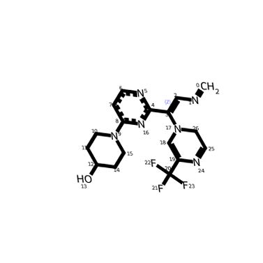 C=N/C=C(/c1nccc(N2CCC(O)CC2)n1)N1C=C(C(F)(F)F)N=CC1